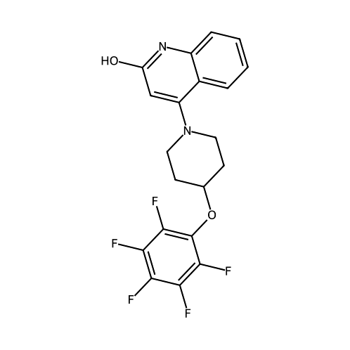 Oc1cc(N2CCC(Oc3c(F)c(F)c(F)c(F)c3F)CC2)c2ccccc2n1